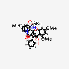 CCC(C)C(=O)NC1CCCN1C(=O)[C@H]1[C@H](c2ccccc2)[C@@]2(O)c3c(OC)cc(OC)cc3O[C@]1(c1ccc(OC)cc1)C2O